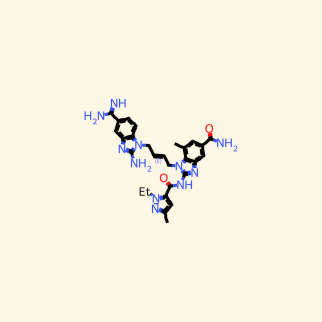 CCn1nc(C)cc1C(=O)Nc1nc2cc(C(N)=O)cc(C)c2n1C/C=C/Cn1c(N)nc2cc(C(=N)N)ccc21